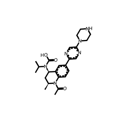 CC(=O)N1c2ccc(-c3cnc(N4CCNCC4)cn3)cc2[C@H](N(C(=O)O)C(C)C)C[C@@H]1C